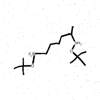 CC(CCCC[SiH2]OC(C)(C)C)[SiH2]OC(C)(C)C